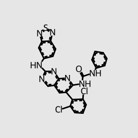 O=C(Nc1ccccc1)Nc1nc2nc(Nc3ccc4nsnc4c3)ncc2cc1-c1c(Cl)cccc1Cl